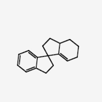 C1=C2C(CCC1)CCC21CCc2ccccc21